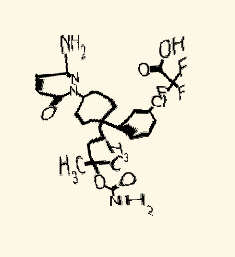 CC(C)(CCC1(c2cccc(Cl)c2)CCC(n2nc(N)ccc2=O)CC1)OC(N)=O.O=C(O)C(F)(F)F